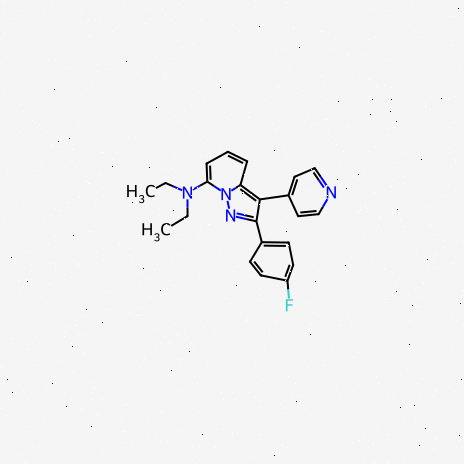 CCN(CC)c1cccc2c(-c3ccncc3)c(-c3ccc(F)cc3)nn12